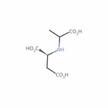 CC(N[C@@H](CC(=O)O)C(=O)O)C(=O)O